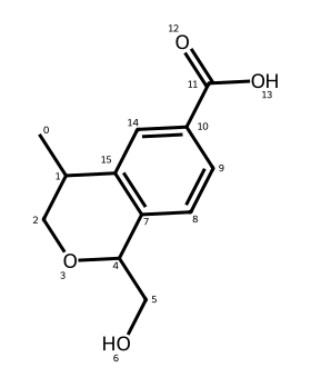 CC1COC(CO)c2ccc(C(=O)O)cc21